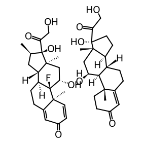 C[C@@H]1C[C@H]2[C@@H]3CCC4=CC(=O)C=C[C@]4(C)[C@@]3(F)[C@@H](O)C[C@]2(C)[C@@]1(O)C(=O)CO.C[C@]12CCC(=O)C=C1CC[C@@H]1[C@@H]2[C@@H](O)C[C@@]2(C)[C@H]1CC[C@]2(O)C(=O)CO